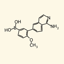 COc1ccc(B(O)O)cc1-c1ccc2c(N)nccc2c1